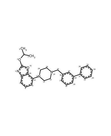 CC(C)Oc1nc2cccc(N3CCN(Cc4cccc(-c5ccccc5)c4)CC3)c2o1